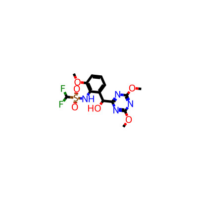 COc1nc(OC)nc(C(O)c2cccc(OC)c2NS(=O)(=O)C(F)F)n1